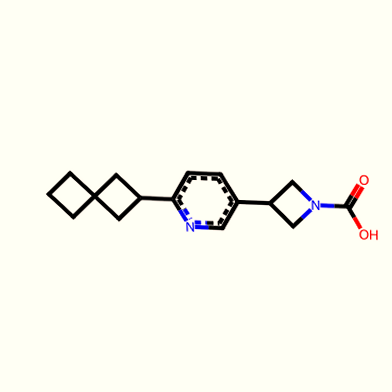 O=C(O)N1CC(c2ccc(C3CC4(CCC4)C3)nc2)C1